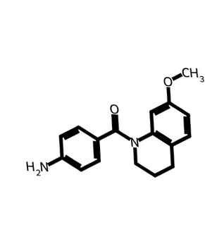 COc1ccc2c(c1)N(C(=O)c1ccc(N)cc1)CCC2